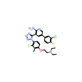 CCN(CC)CCOc1ccc(-n2nnnc2-c2cc(-c3ccc(F)c(Cl)c3)cnc2N)c(F)c1C